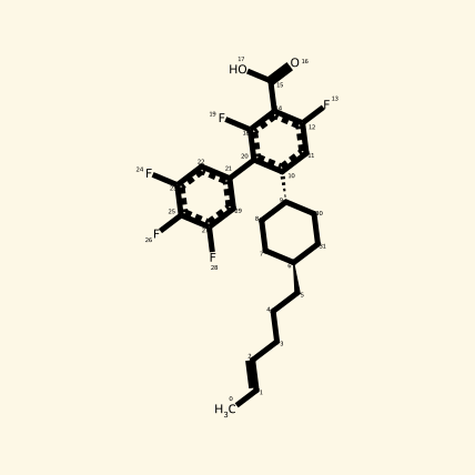 C/C=C/CCC[C@H]1CC[C@H](c2cc(F)c(C(=O)O)c(F)c2-c2cc(F)c(F)c(F)c2)CC1